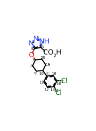 O=C(O)c1[nH]nnc1OC1CCC(c2ccc(Cl)c(Cl)c2)CC1